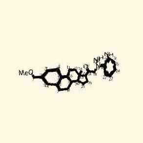 COCC1CCC2C(CCC3C2CCC2(C)C(C(=O)CN(N)c4ccccc4N)CCC32)C1